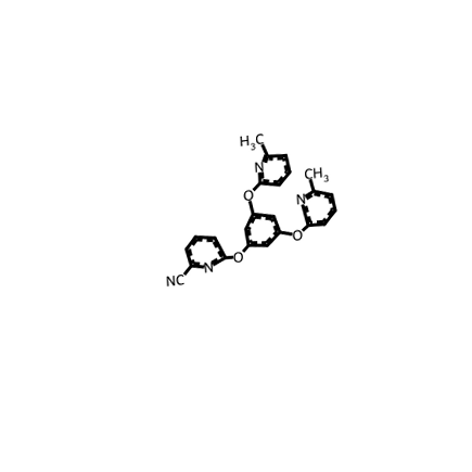 Cc1cccc(Oc2cc(Oc3cccc(C)n3)cc(Oc3cccc(C#N)n3)c2)n1